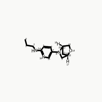 CCCNc1ccc(N2C[C@@H]3C[C@H]2CO3)cn1